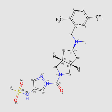 CN(Cc1cc(C(F)(F)F)ccc1C(F)(F)F)[C@H]1C[C@@H]2CN(C(=O)n3cc(NS(C)(=O)=O)cn3)C[C@@H]2C1